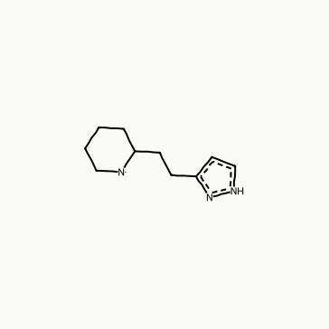 c1cc(CCC2CCCC[N]2)n[nH]1